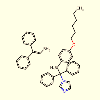 BC=C(c1ccccc1)c1ccccc1.CCCCCCOc1ccc([SiH2]C(c2ccccc2)(c2ccccc2)n2ccnc2)cc1